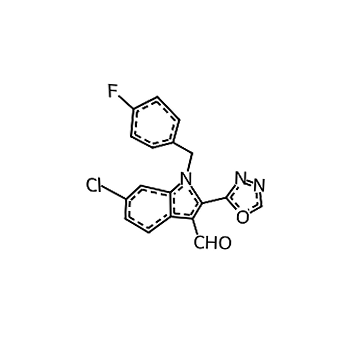 O=Cc1c(-c2nnco2)n(Cc2ccc(F)cc2)c2cc(Cl)ccc12